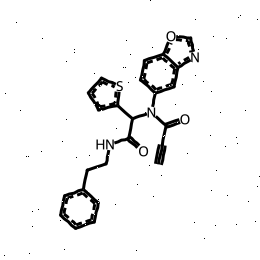 C#CC(=O)N(c1ccc2ocnc2c1)C(C(=O)NCCc1ccccc1)c1cccs1